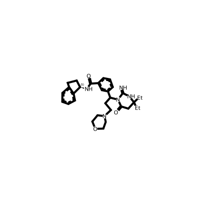 CCC1(CC)CC(=O)N(C(CCN2CCOCC2)c2cccc(C(=O)N[C@H]3CCc4ccccc43)c2)C(=N)N1